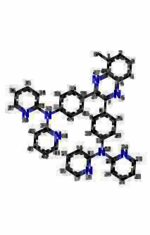 Cc1cccc2nc(-c3ccc(N(c4ccccn4)c4ccccn4)cc3)c(-c3ccc(N(c4ccccn4)c4ccccn4)cc3)nc12